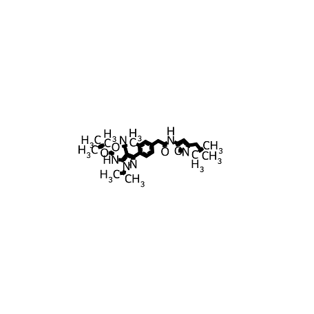 Cc1cc(CC(=O)Nc2cc(CC(C)(C)C)no2)ccc1-c1nn(C(C)C)c(NC(=O)OC(C)(C)C)c1C#N